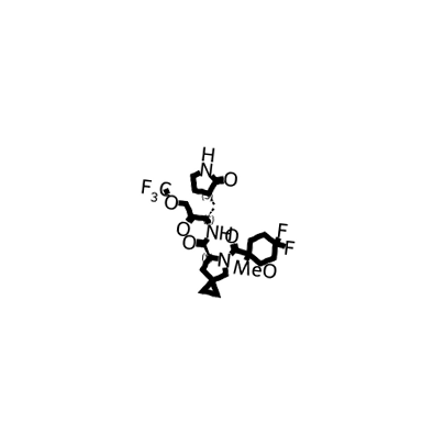 COC1(C(=O)N2CC3(CC3)C[C@H]2C(=O)N[C@@H](C[C@@H]2CCNC2=O)C(=O)COC(F)(F)F)CCC(F)(F)CC1